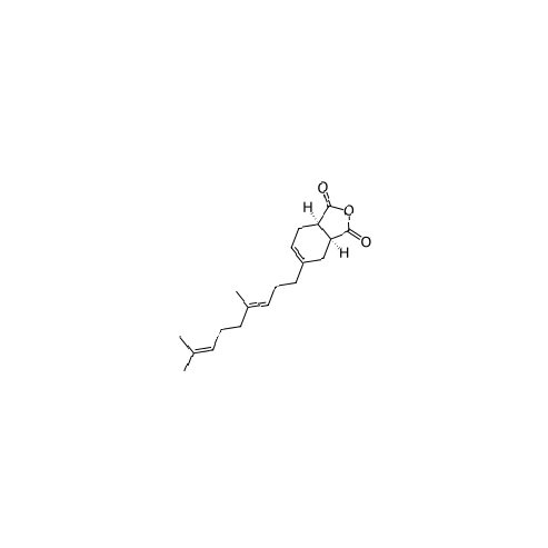 CC(C)=CCC/C(C)=C/CCC1=CC[C@H]2C(=O)OC(=O)[C@H]2C1